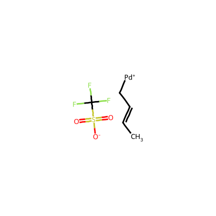 CC=C[CH2][Pd+].O=S(=O)([O-])C(F)(F)F